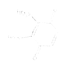 O=C1C=CC(=O)C(S(=O)(=O)O)=C1S(=O)(=O)O